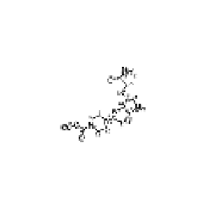 CC[C@H](C)OC(=O)N1CCN(c2cnc3[nH]cc(C=CC(N)=O)c3n2)CC1